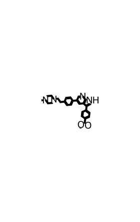 COC(=O)c1ccc(-c2c[nH]c3ncc(-c4ccc(CCN5CCN(C)CC5)cc4)cc23)cc1